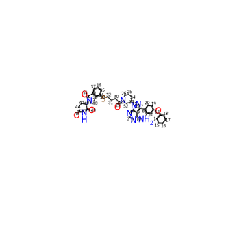 Nc1ncnc2c1c(-c1ccc(Oc3ccccc3)cc1)nn2C1CCCN(C(=O)CCCSc2cccc3c2CN(C2CCC(=O)NC2=O)C3=O)C1